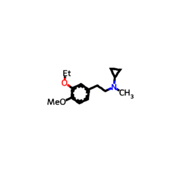 CCOc1cc(CCN(C)C2CC2)ccc1OC